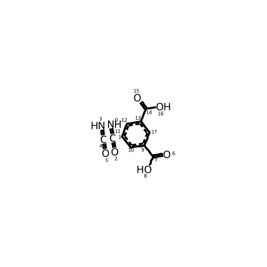 N=C=O.N=C=O.O=C(O)c1cccc(C(=O)O)c1